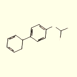 FC(F)Oc1ccc(C2C=CC=CC2)cc1